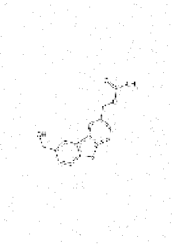 CC(=O)OCc1ccc2sc3ccc(CO)cc3c2c1